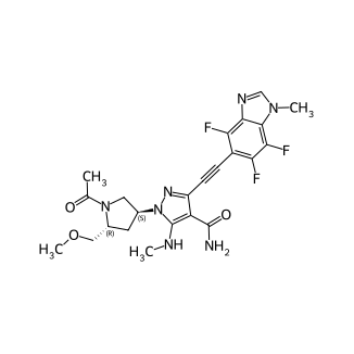 CNc1c(C(N)=O)c(C#Cc2c(F)c(F)c3c(ncn3C)c2F)nn1[C@H]1C[C@H](COC)N(C(C)=O)C1